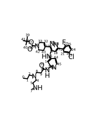 CCCN(CCNC)CCC(=O)Nc1cc(Nc2cc(-c3cc(Cl)ccc3F)nnc2C2=CCN(C(=O)OC(C)(C)C)CC2)ccn1